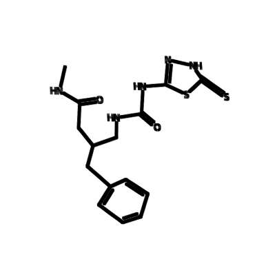 CNC(=O)CC(CNC(=O)Nc1n[nH]c(=S)s1)Cc1ccccc1